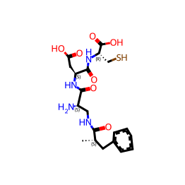 C[C@@H](Cc1ccccc1)C(=O)NC[C@H](N)C(=O)N[C@@H](CC(=O)O)C(=O)N[C@@H](CS)C(=O)O